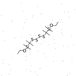 CCO[Si](C)(C)C(C)(C)SSSSC(C)(C)[Si](C)(C)OCC